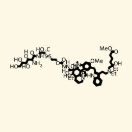 CCN(CCc1c(Cc2cc3c(cc2OC)N(C)[C@H]2[C@@](O)(C(=O)NNC(=O)OCCSSC[C@H](NC(=O)C(N)C(O)[C@H](O)[C@H](O)CO)C(=O)O)[C@H](O)[C@]4(CC)C=CCN5CC[C@]32[C@@H]54)[nH]c2ccccc12)C[C@](O)(CC)CCCC(=O)OC